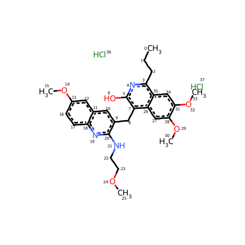 CCCc1nc(O)c(Cc2cc3cc(OC)ccc3nc2NCCOC)c2cc(OC)c(OC)cc12.Cl.Cl